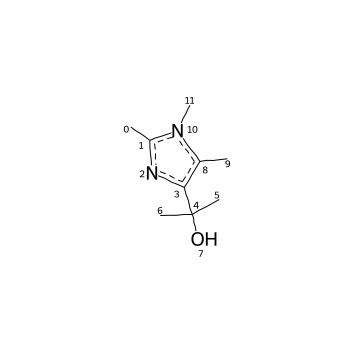 Cc1nc(C(C)(C)O)c(C)n1C